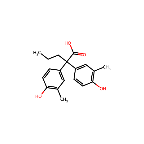 CCCC(C(=O)O)(c1ccc(O)c(C)c1)c1ccc(O)c(C)c1